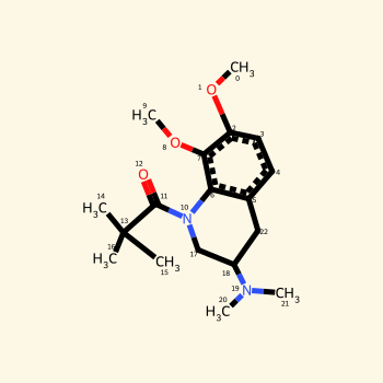 COc1ccc2c(c1OC)N(C(=O)C(C)(C)C)CC(N(C)C)C2